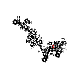 CC[C@H](C)[C@H](NC(=O)[C@H](CC(=O)O)NC(=O)[C@H](CO)NC(=O)[C@@H]1CCCN1C(=O)[C@H](CS)NC(=O)CNC(=O)[C@H](Cc1c[nH]c2ccccc12)NC(=O)[C@@H]1CCCN1)C(=O)N1CCC[C@H]1C(=O)NCC(=O)N[C@@H](Cc1c[nH]c2ccccc12)C(=O)N[C@@H](CC(N)=O)C(=O)N[C@H](C(=O)N1CCC[C@H]1C(=O)N[C@@H](Cc1c[nH]c2ccccc12)C(=O)N[C@@H](C)C(=O)N[C@@H](CS)C(=O)O)[C@@H](C)O